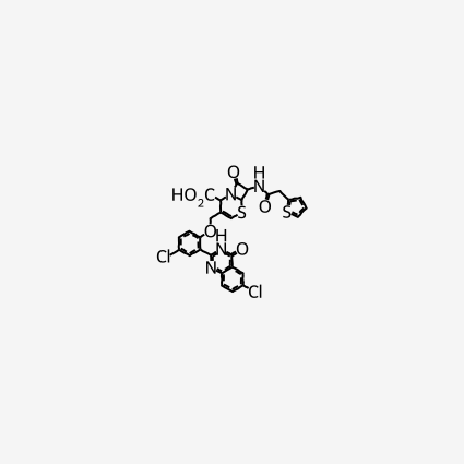 O=C(Cc1cccs1)NC1C(=O)N2C(C(=O)O)C(COc3ccc(Cl)cc3-c3nc4ccc(Cl)cc4c(=O)[nH]3)=CSC12